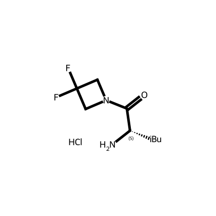 CCC(C)[C@H](N)C(=O)N1CC(F)(F)C1.Cl